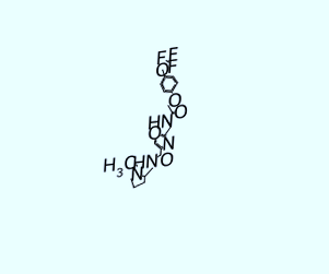 CCN1CCCC1CNC(=O)c1coc(CNC(=O)COc2ccc(OC(F)(F)F)cc2)n1